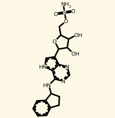 NS(=O)(=O)OCC1OC(c2c[nH]c3c(NC4CCc5ccccc54)ncnc23)C(O)C1O